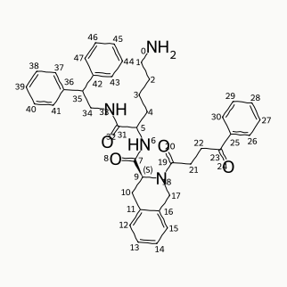 NCCCCC(NC(=O)[C@@H]1Cc2ccccc2CN1C(=O)CCC(=O)c1ccccc1)C(=O)NCC(c1ccccc1)c1ccccc1